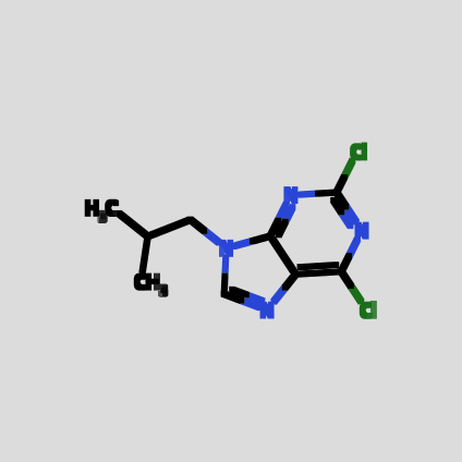 CC(C)Cn1cnc2c(Cl)nc(Cl)nc21